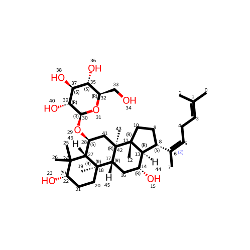 CC(C)=CC/C=C(/C)[C@H]1CC[C@]2(C)[C@@H]1[C@H](O)C[C@@H]1[C@@]3(C)CC[C@H](O)C(C)(C)[C@@H]3[C@@H](O[C@@H]3O[C@H](CO)[C@@H](O)[C@H](O)[C@H]3O)C[C@]12C